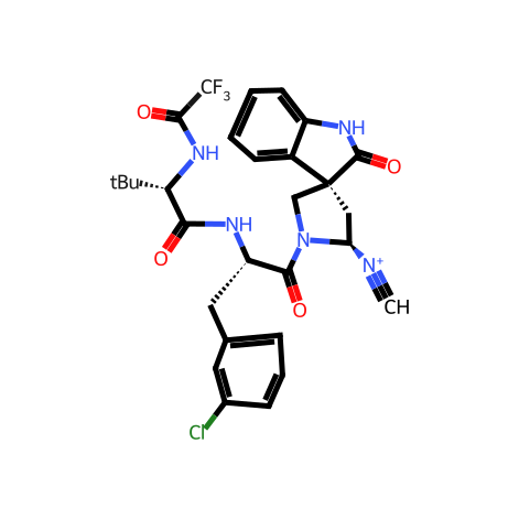 C#[N+][C@@H]1C[C@@]2(CN1C(=O)[C@H](Cc1cccc(Cl)c1)NC(=O)[C@@H](NC(=O)C(F)(F)F)C(C)(C)C)C(=O)Nc1ccccc12